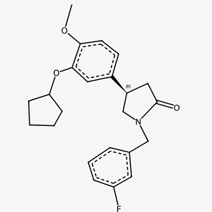 COc1ccc([C@H]2CC(=O)N(Cc3cccc(F)c3)C2)cc1OC1CCCC1